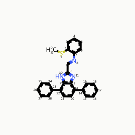 CSc1ccccc1/N=C/c1nc2c(-c3ccccc3)ccc(-c3ccccc3)c2[nH]1